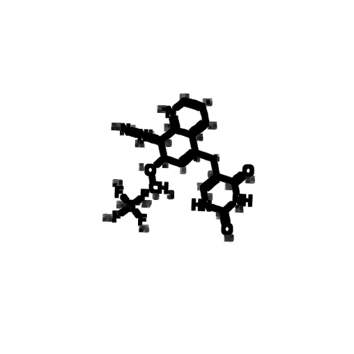 COC1C=C(Cc2c[nH]c(=O)[nH]c2=O)c2cccnc2C1=[N+]=[N-].F[B-](F)(F)F